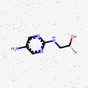 C[C@@H](O)CNc1ncc(N)cn1